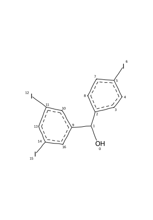 OC(c1ccc(I)cc1)c1cc(I)cc(I)c1